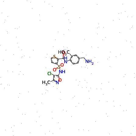 Cc1noc(NS(=O)(=O)c2ccsc2C(=O)Nc2ccc(CN)cc2C(=O)O)c1Cl